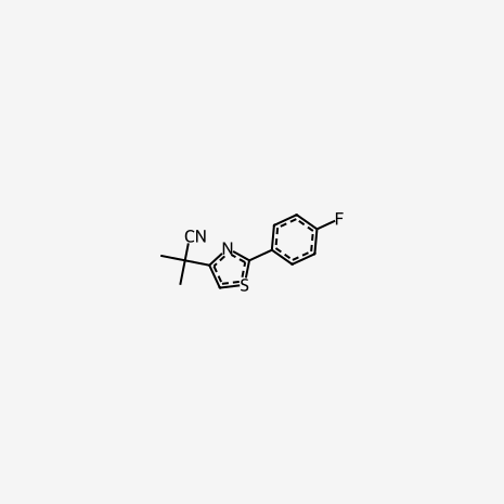 CC(C)(C#N)c1csc(-c2ccc(F)cc2)n1